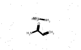 C=CC(N)=O.N.NS(=O)(=O)O